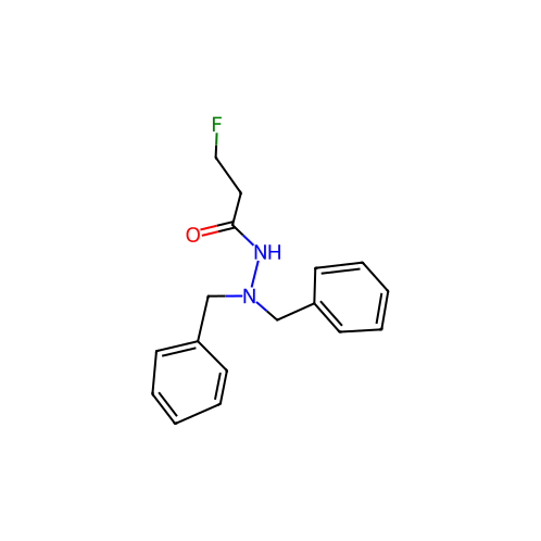 O=C(CCF)NN(Cc1ccccc1)Cc1ccccc1